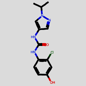 CC(C)n1cc(NC(=O)Nc2ccc(O)cc2Cl)cn1